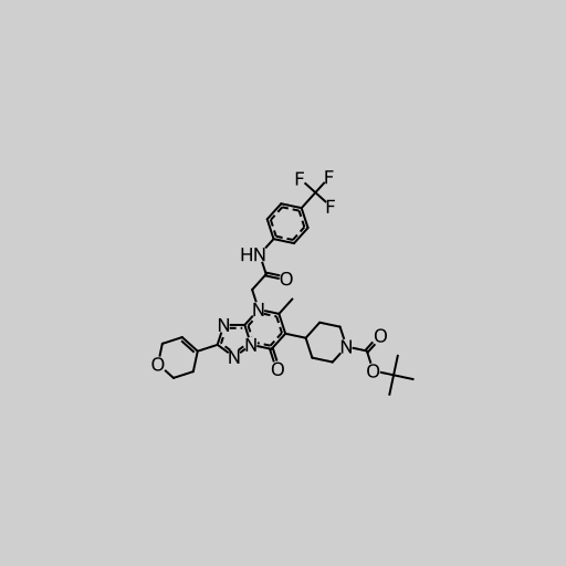 Cc1c(C2CCN(C(=O)OC(C)(C)C)CC2)c(=O)n2nc(C3=CCOCC3)nc2n1CC(=O)Nc1ccc(C(F)(F)F)cc1